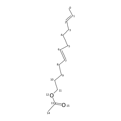 CC=CCCCC=CCCCCOC(C)=O